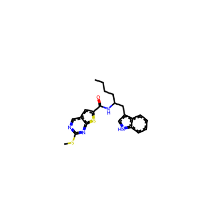 CCCCC(Cc1c[nH]c2ccccc12)NC(=O)c1cc2cnc(SC)nc2s1